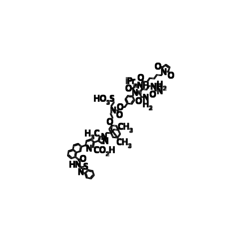 Cc1c(-c2ccc(-c3ccc4cccc(C(=O)Nc5nc6ccccc6s5)c4c3)nc2C(=O)O)cnn1CC12CC3(C)CC(C)(C1)CC(OCCN(CCS(=O)(=O)O)C(=O)OCc1ccc(N(C(=O)[C@@H](NC(=O)CCCCCN4C(=O)C=CC4=O)C(C)C)[C@@H](CCCNC(N)=O)C(N)=O)cc1)(C3)C2